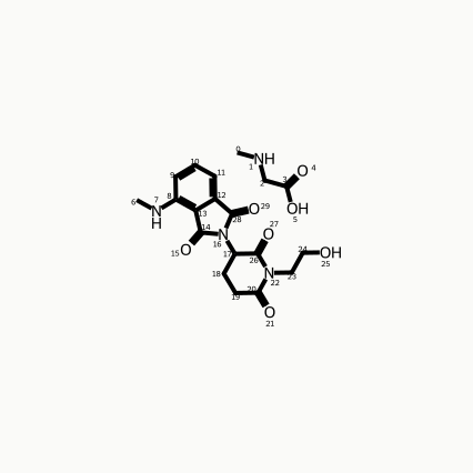 CNCC(=O)O.CNc1cccc2c1C(=O)N(C1CCC(=O)N(CCO)C1=O)C2=O